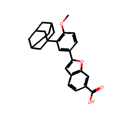 COc1ccc(-c2cc3ccc(C(=O)O)cc3o2)cc1C12CC3CC(CC(C3)C1)C2